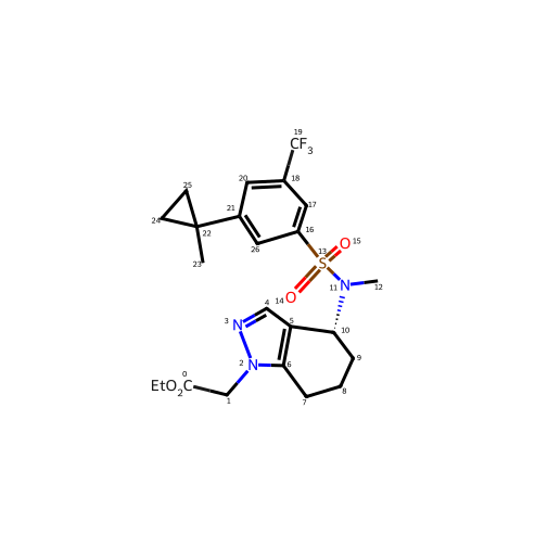 CCOC(=O)Cn1ncc2c1CCC[C@H]2N(C)S(=O)(=O)c1cc(C(F)(F)F)cc(C2(C)CC2)c1